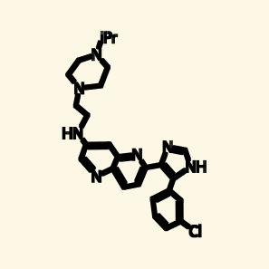 CC(C)N1CCN(CCNc2cnc3ccc(-c4nc[nH]c4-c4cccc(Cl)c4)nc3c2)CC1